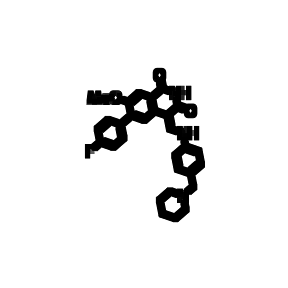 COc1cc2c(cc1-c1ccc(F)cc1)/C(=C/Nc1ccc(CN3CCCCC3)cc1)C(=O)NC2=O